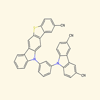 N#Cc1ccc2sc3cc4c5ccccc5n(-c5cccc(-n6c7ccc(C#N)cc7c7cc(C#N)ccc76)c5)c4cc3c2c1